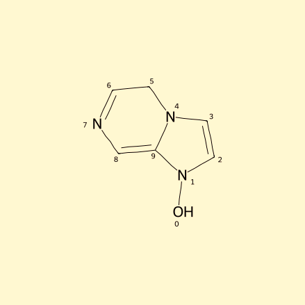 ON1C=CN2CC=NC=C12